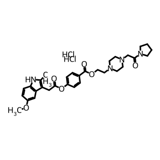 COc1ccc2[nH]c(C)c(CC(=O)Oc3ccc(C(=O)OCCN4CCN(CC(=O)N5CCCC5)CC4)cc3)c2c1.Cl.Cl